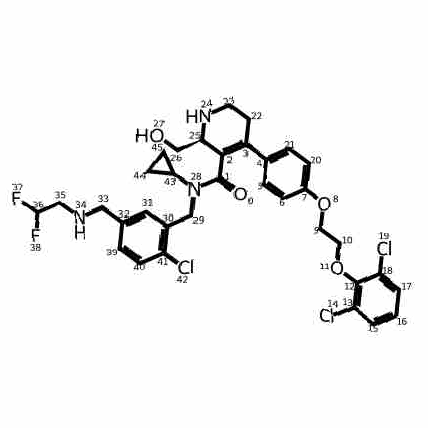 O=C(C1=C(c2ccc(OCCOc3c(Cl)cccc3Cl)cc2)CCN[C@@H]1CO)N(Cc1cc(CNCC(F)F)ccc1Cl)C1CC1